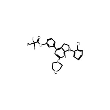 O=C(Oc1cccc(-c2nc(N3CCOCC3)nc3c2CCN3c2ccccc2Cl)c1)C(F)(F)F